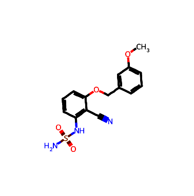 COc1cccc(COc2cccc(NS(N)(=O)=O)c2C#N)c1